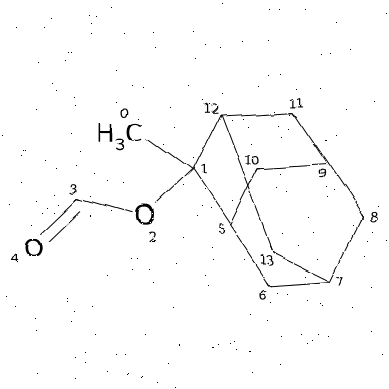 CC1(OC=O)C2CC3CC(C2)CC1C3